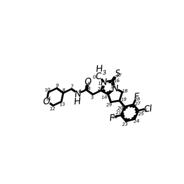 Cn1c(CC(=O)NCC2CCOCC2)c2n(c1=S)CC(c1c(F)ccc(Cl)c1F)C2